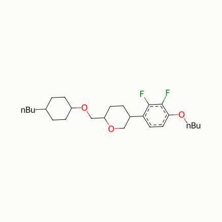 CCCCOc1ccc(C2CCC(COC3CCC(CCCC)CC3)OC2)c(F)c1F